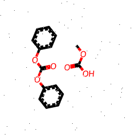 COC(=O)O.O=C(Oc1ccccc1)Oc1ccccc1